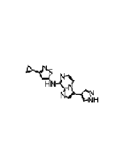 c1cn2c(-c3cn[nH]c3)cnc2c(NC2CC(C3CC3)=NS2)n1